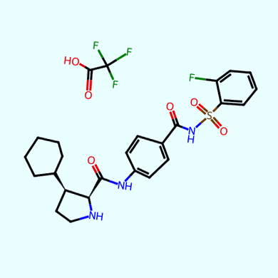 O=C(NS(=O)(=O)c1ccccc1F)c1ccc(NC(=O)[C@H]2NCC[C@H]2C2CCCCC2)cc1.O=C(O)C(F)(F)F